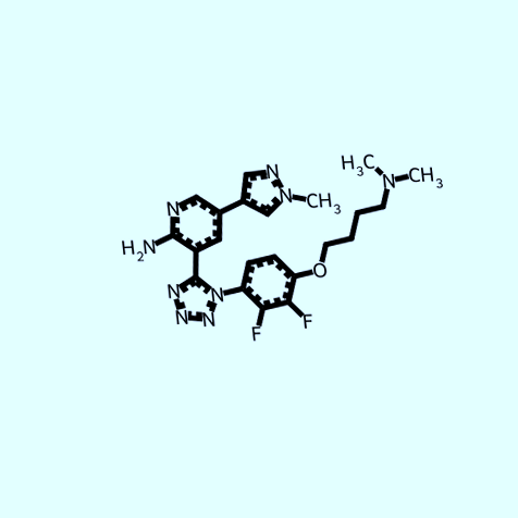 CN(C)CCCCOc1ccc(-n2nnnc2-c2cc(-c3cnn(C)c3)cnc2N)c(F)c1F